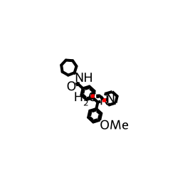 C=CCN1C2CC1CN(C(c1ccc(C(=O)NC3CCCCCC3)cc1)c1cccc(OC)c1)C2